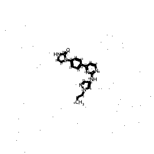 CCCn1cc(Nc2nccc(-c3ccc(N4CCNC4=O)cc3)n2)cn1